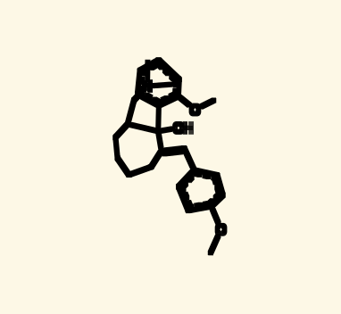 COc1ccc(/C=C2\CCCCC(CN(C)C)C2(O)c2ccccc2OC)cc1